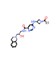 CCC(=O)N1CC(Nc2cc(C(=O)NCC(O)CN3CCc4ccccc4C3)ncn2)C1